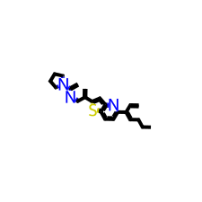 C=C/C(=C\CCC)c1ccc2sc(C(=C)/C=N\C(=C)N3CCCC3)cc2n1